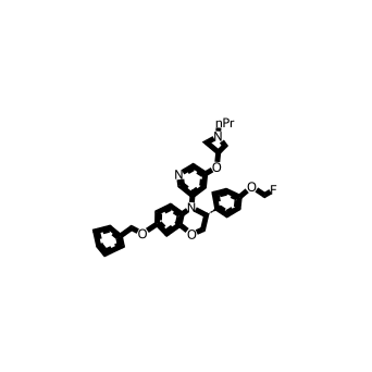 CCCN1CC(Oc2cncc(N3c4ccc(OCc5ccccc5)cc4OC[C@H]3c3ccc(OCF)cc3)c2)C1